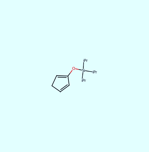 CC(C)[Si](OC1=CC[C]=C1)(C(C)C)C(C)C